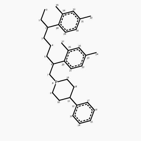 CCC(CCCC(CP1CCC(c2ccccc2)CC1)c1ccc(C)cc1C)c1ccc(C)cc1C